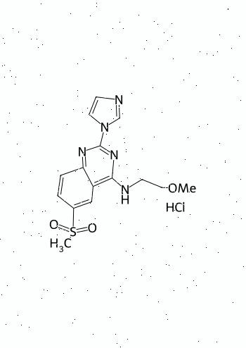 COCCNc1nc(-n2ccnc2)nc2ccc(S(C)(=O)=O)cc12.Cl